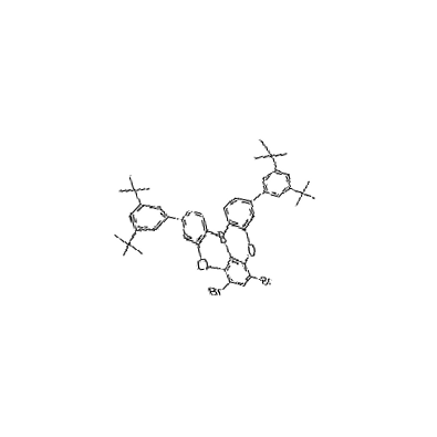 CC(C)(C)c1cc(-c2ccc3c(c2)Oc2c(Br)cc(Br)c4c2B3c2ccc(-c3cc(C(C)(C)C)cc(C(C)(C)C)c3)cc2O4)cc(C(C)(C)C)c1